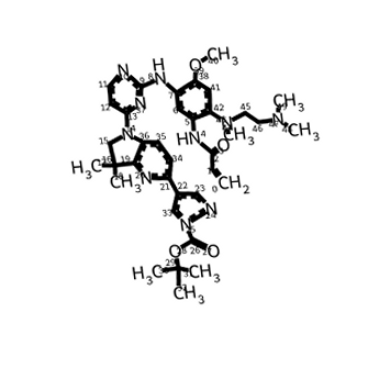 C=CC(=O)Nc1cc(Nc2nccc(N3CC(C)(C)c4nc(-c5cnn(C(=O)OC(C)(C)C)c5)ccc43)n2)c(OC)cc1N(C)CCN(C)C